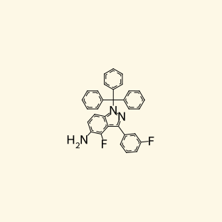 Nc1ccc2c(c(-c3cccc(F)c3)nn2C(c2ccccc2)(c2ccccc2)c2ccccc2)c1F